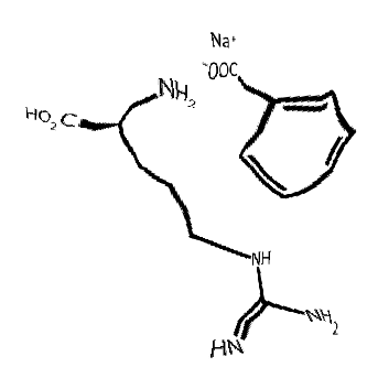 N=C(N)NCCC[C@H](N)C(=O)O.O=C([O-])c1ccccc1.[Na+]